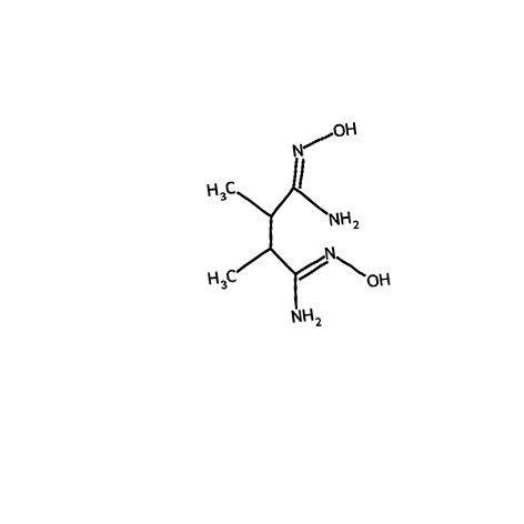 CC(/C(N)=N/O)C(C)/C(N)=N/O